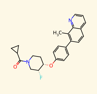 Cc1c(-c2ccc(O[C@H]3CCN(C(=O)C4CC4)C[C@H]3F)cc2)ccc2cccnc12